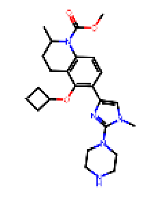 COC(=O)N1c2ccc(-c3cn(C)c(N4CCNCC4)n3)c(OC3CCC3)c2CCC1C